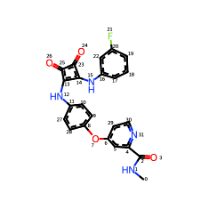 CNC(=O)c1cc(Oc2ccc(Nc3c(Nc4cccc(F)c4)c(=O)c3=O)cc2)ccn1